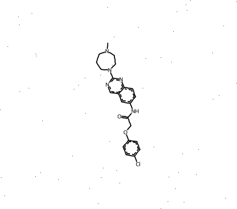 CN1CCCN(c2ncc3cc(NC(=O)COc4ccc(Cl)cc4)ccc3n2)CC1